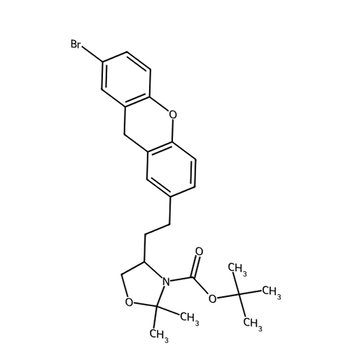 CC(C)(C)OC(=O)N1C(CCc2ccc3c(c2)Cc2cc(Br)ccc2O3)COC1(C)C